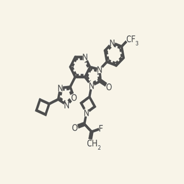 C=C(F)C(=O)N1CC(n2c(=O)n(-c3ccc(C(F)(F)F)nc3)c3nccc(-c4nc(C5CCC5)no4)c32)C1